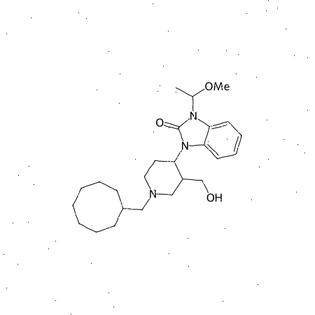 COC(C)n1c(=O)n(C2CCN(CC3CCCCCCC3)CC2CO)c2ccccc21